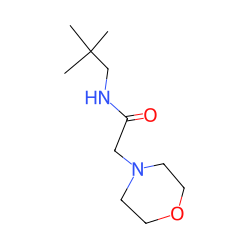 CC(C)(C)CNC(=O)CN1CCOCC1